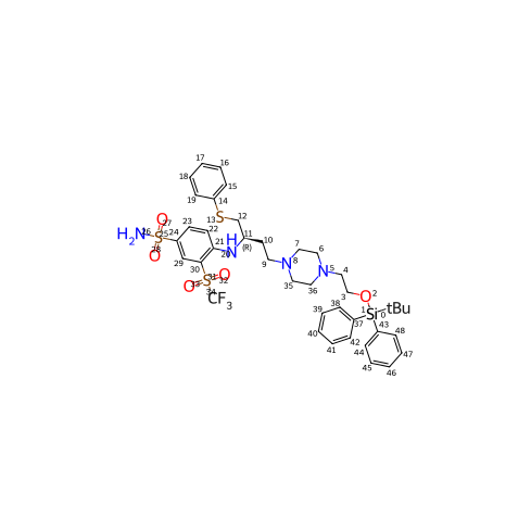 CC(C)(C)[Si](OCCN1CCN(CC[C@H](CSc2ccccc2)Nc2ccc(S(N)(=O)=O)cc2S(=O)(=O)C(F)(F)F)CC1)(c1ccccc1)c1ccccc1